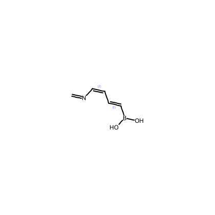 C=N/C=C\C=C\B(O)O